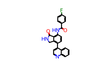 O=C(Nc1ccc(-c2ccnc3ccccc23)c2c1C(=O)NC2)c1ccc(F)cc1